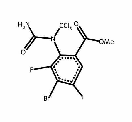 COC(=O)c1cc(I)c(Br)c(F)c1N(C(N)=O)C(Cl)(Cl)Cl